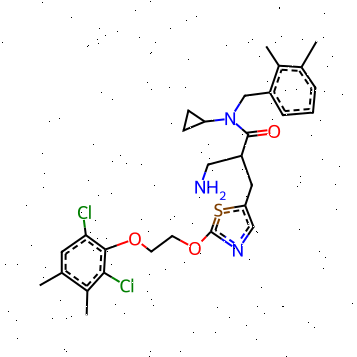 Cc1cccc(CN(C(=O)C(CN)Cc2cnc(OCCOc3c(Cl)cc(C)c(C)c3Cl)s2)C2CC2)c1C